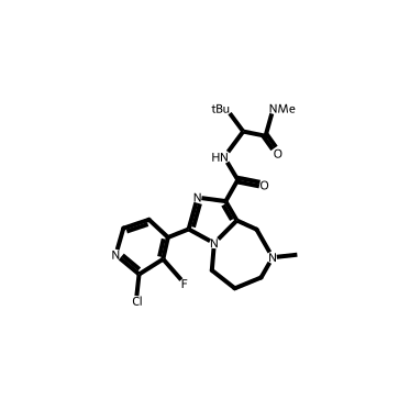 CNC(=O)C(NC(=O)c1nc(-c2ccnc(Cl)c2F)n2c1CN(C)CCC2)C(C)(C)C